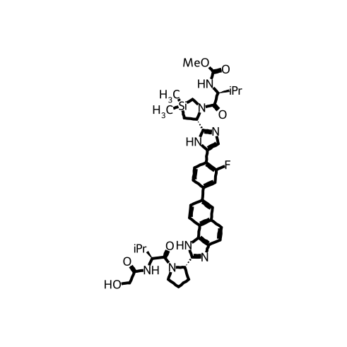 COC(=O)N[C@H](C(=O)N1C[Si](C)(C)C[C@H]1c1ncc(-c2ccc(-c3ccc4c(ccc5nc([C@@H]6CCCN6C(=O)[C@@H](NC(=O)CO)C(C)C)[nH]c54)c3)cc2F)[nH]1)C(C)C